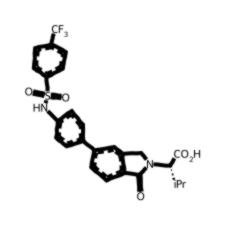 CC(C)[C@@H](C(=O)O)N1Cc2cc(-c3ccc(NS(=O)(=O)c4ccc(C(F)(F)F)cc4)cc3)ccc2C1=O